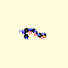 O=C(Nc1ccc2[nH]nc(-c3ccncc3)c2c1)[C@@H]1CCN(CC(=O)N2CCC(O)(c3nccs3)CC2)C1